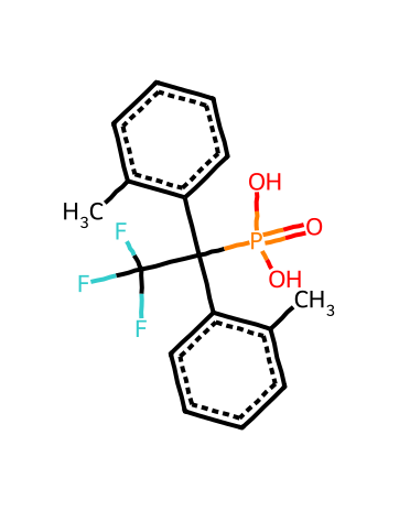 Cc1ccccc1C(c1ccccc1C)(C(F)(F)F)P(=O)(O)O